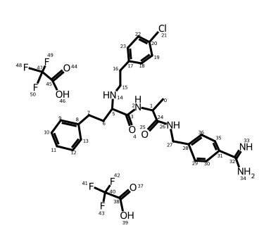 CC(NC(=O)C(CCc1ccccc1)NCCc1ccc(Cl)cc1)C(=O)NCc1ccc(C(=N)N)cc1.O=C(O)C(F)(F)F.O=C(O)C(F)(F)F